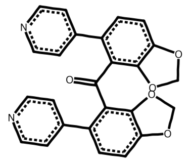 O=C(c1c(-c2ccncc2)ccc2c1OCO2)c1c(-c2ccncc2)ccc2c1OCO2